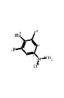 CCN(C)c1cc(F)c(C(C)(C)C)c(I)c1